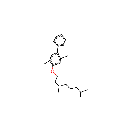 Cc1cc(-c2ccccc2)c(C)cc1OCCC(C)CCCC(C)C